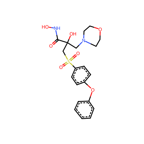 O=C(NO)C(O)(CN1CCOCC1)CS(=O)(=O)c1ccc(Oc2ccccc2)cc1